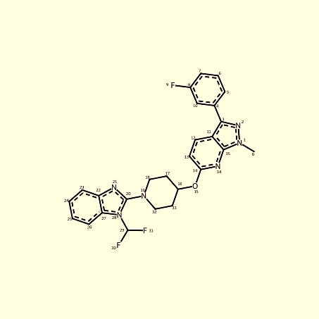 Cn1nc(-c2cccc(F)c2)c2ccc(OC3CCN(c4nc5ccccc5n4C(F)F)CC3)nc21